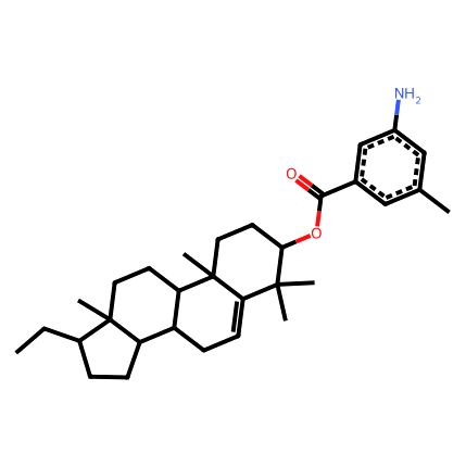 CCC1CCC2C3CC=C4C(C)(C)C(OC(=O)c5cc(C)cc(N)c5)CCC4(C)C3CCC12C